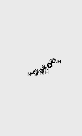 N#Cc1cnc(-n2cc(C(=O)Nc3ccc(C4CNCCO4)cc3)cn2)cn1